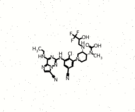 CCNc1nc(Nc2cc(C#N)cc(N3CC[C@@H](N(C)C(=O)O)[C@@H](NCC(O)C(F)(F)F)C3)c2Cl)nn2c(C#N)cnc12